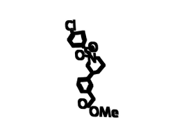 COC(=O)Cc1cccc(C2CCCN(S(=O)(=O)c3ccc(Cl)cc3)C2)c1